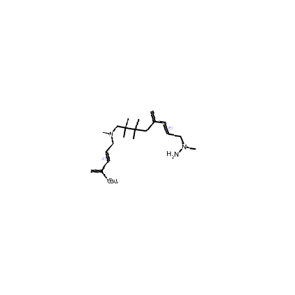 C=C(/C=C/CN(C)N)CC(C)(C)C(C)(C)CN(C)C/C=C/C(=C)C(C)(C)C